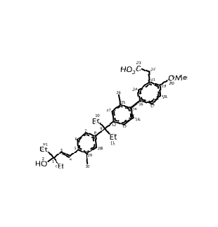 CCC(O)(/C=C/c1ccc(C(CC)(CC)c2ccc(-c3ccc(OC)c(CC(=O)O)c3)c(C)c2)cc1C)CC